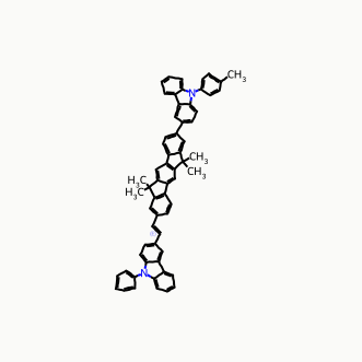 Cc1ccc(-n2c3ccccc3c3cc(-c4ccc5c(c4)C(C)(C)c4cc6c(cc4-5)C(C)(C)c4cc(/C=C/c5ccc7c(c5)c5ccccc5n7-c5ccccc5)ccc4-6)ccc32)cc1